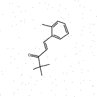 Cc1ccccc1C=CC(=O)C(C)(C)C